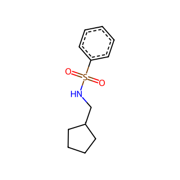 O=S(=O)(NC[C]1CCCC1)c1ccccc1